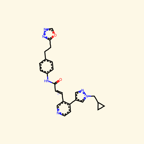 O=C(/C=C/c1cnccc1-c1cnn(CC2CC2)c1)Nc1ccc(CCc2nnco2)cc1